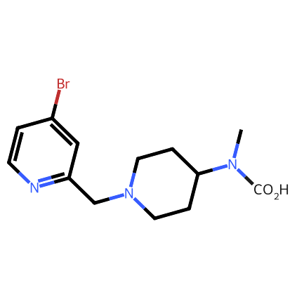 CN(C(=O)O)C1CCN(Cc2cc(Br)ccn2)CC1